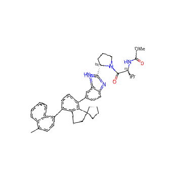 COC(=O)N[C@H](C(=O)N1CCC[C@H]1c1nc2ccc(-c3ccc(-c4ccc(C)c5ccccc45)c4c3C3(CCCC3)CC4)cc2[nH]1)C(C)C